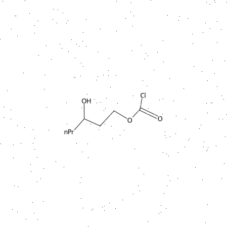 CCCC(O)CCOC(=O)Cl